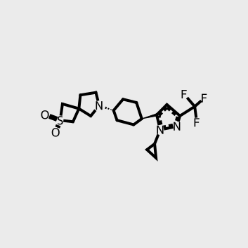 O=S1(=O)CC2(CCN([C@H]3CC[C@H](c4cc(C(F)(F)F)nn4C4CC4)CC3)C2)C1